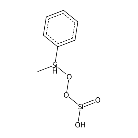 C[SiH](OO[Si](=O)O)c1ccccc1